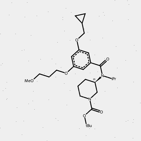 COCCCOc1cc(OCC2CC2)cc(C(=O)N(C(C)C)[C@@H]2CCCN(C(=O)OC(C)(C)C)C2)c1